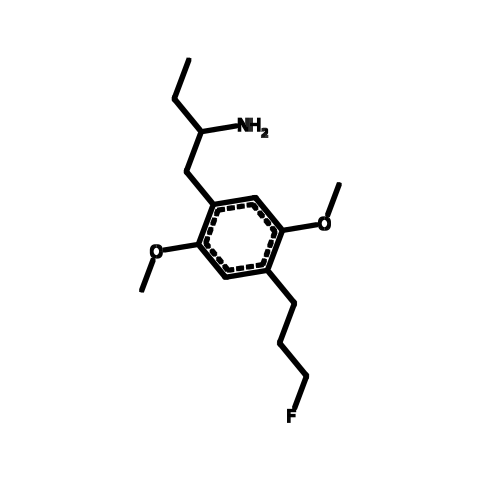 CCC(N)Cc1cc(OC)c(CCCF)cc1OC